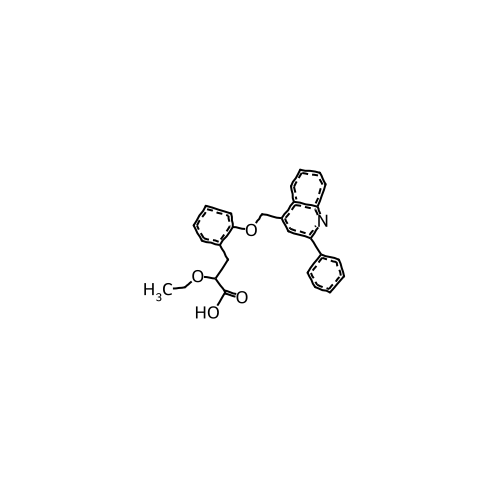 CCOC(Cc1ccccc1OCc1cc(-c2ccccc2)nc2ccccc12)C(=O)O